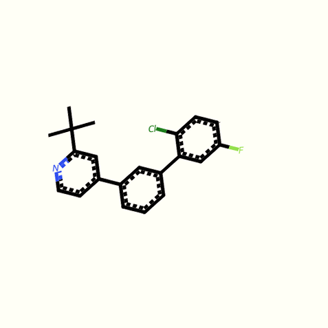 CC(C)(C)c1cc(-c2cccc(-c3cc(F)[c]cc3Cl)c2)ccn1